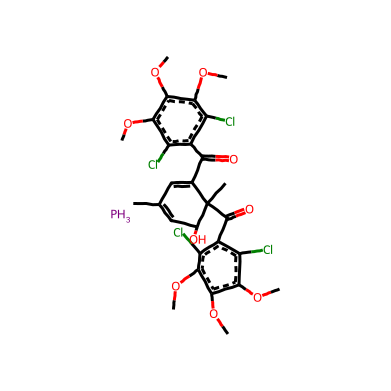 COc1c(Cl)c(C(=O)C2=CC(C)=CC(O)C2(C)C(=O)c2c(Cl)c(OC)c(OC)c(OC)c2Cl)c(Cl)c(OC)c1OC.P